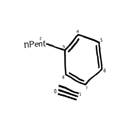 C#C.CCCCCc1ccccc1